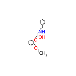 C=CCOCc1ccccc1OCC(O)CNCCc1ccccc1